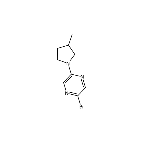 CC1CCN(c2cnc(Br)cn2)C1